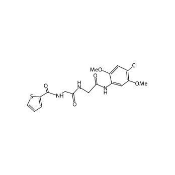 COc1cc(NC(=O)CNC(=O)CNC(=O)c2cccs2)c(OC)cc1Cl